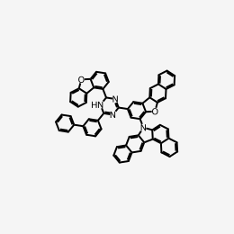 c1ccc(-c2cccc(C3=NC(c4cc(-n5c6cc7ccccc7cc6c6c7ccccc7ccc65)c5oc6cc7ccccc7cc6c5c4)=NC(c4cccc5oc6ccccc6c45)N3)c2)cc1